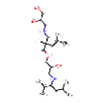 CC(C)CC(NCC(O)COCC(C)(CNCC(O)CO)CC(C)C)C(C)C